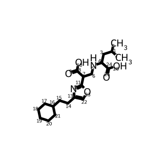 CC(C)CC(NCC(C(=O)O)c1nc(CCC2CCCCC2)co1)C(=O)O